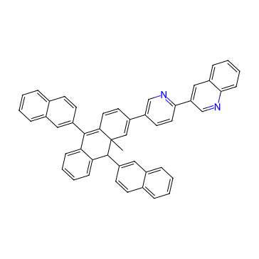 CC12C=C(c3ccc(-c4cnc5ccccc5c4)nc3)C=CC1=C(c1ccc3ccccc3c1)c1ccccc1C2c1ccc2ccccc2c1